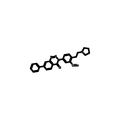 COc1cc(-n2nnc3cc(-c4ccccc4)ccc3c2=O)ccc1CCN1CCCC1